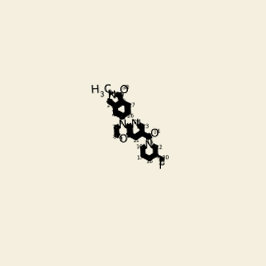 CN1Cc2cc(N3CCOc4cc(C(=O)N5CCC[C@H](CF)C5)cnc43)ccc2C1=O